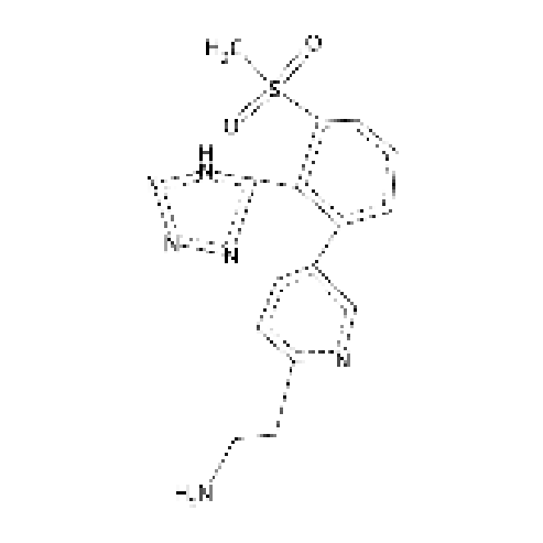 CS(=O)(=O)c1cccc(-c2ccc(CCN)nc2)c1-c1nnn[nH]1